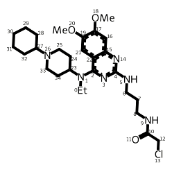 CCN(c1nc(NCCCNC(=O)CCl)nc2cc(OC)c(OC)cc12)C1CCN(C2CCCCC2)CC1